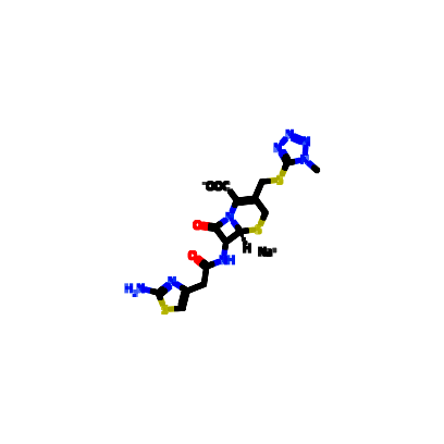 Cn1nnnc1SCC1=C(C(=O)[O-])N2C(=O)C(NC(=O)Cc3csc(N)n3)[C@@H]2SC1.[Na+]